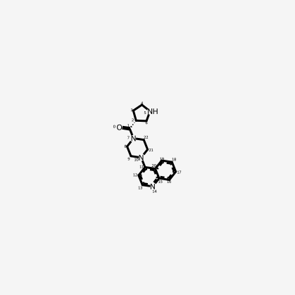 O=C([C@@H]1CCNC1)N1CCN(c2ccnc3ccccc23)CC1